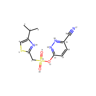 CC(C)c1csc(CS(=O)(=O)Oc2ccc(C#N)nn2)n1